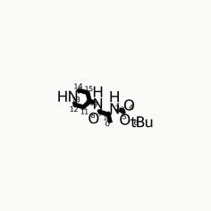 CC(NC(=O)OC(C)(C)C)C(=O)NC1CCNCC1